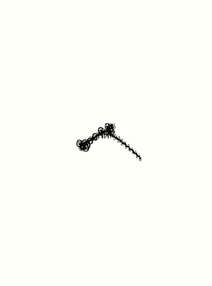 CCCCCCCCCCCCCCCCCC(=O)N[C@@H](CCC(=O)NCCOCCOCC(=O)ON1C(=O)CCC1=O)C(=O)OC(C)(C)C